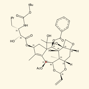 C=C[C@@H]1O[C@H]2C[C@H]3OC[C@@]3(OC(C)=O)[C@H]3[C@H](OC(=O)c4ccccc4)C4(C(C)(C)O)C[C@H](OC(=O)[C@H](O)[C@H](CC(C)C)NC(=O)OC(C)(C)C)C(C)=C4[C@H](OC(C)=O)[C@H](O1)[C@]23C